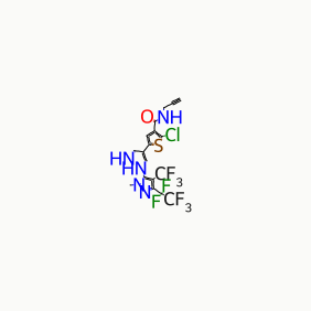 C#CCNC(=O)c1cc(/C(C=N)=C/Nc2c(C(F)(F)F)c(C(F)(F)C(F)(F)F)nn2C)sc1Cl